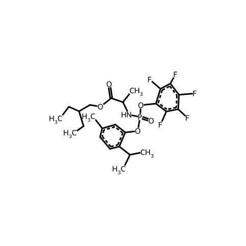 CCC(CC)COC(=O)C(C)NP(=O)(Oc1cc(C)ccc1C(C)C)Oc1c(F)c(F)c(F)c(F)c1F